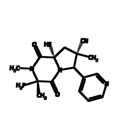 CN1C(=O)[C@@]2(S)C[C@](C)(C#N)C(c3cccnc3)N2C(=O)[C@]1(C)P